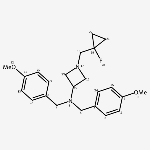 COc1ccc(CN(Cc2ccc(OC)cc2)C2CN(CC3(F)CC3)C2)cc1